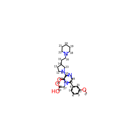 COc1cccc(-c2cnc(N3CCC(CCN4CCCCC4)C3)c(=O)n2CC(=O)O)c1